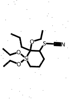 CCCC1(OCC)C(SC#N)CCC[Si]1(OCC)OCC